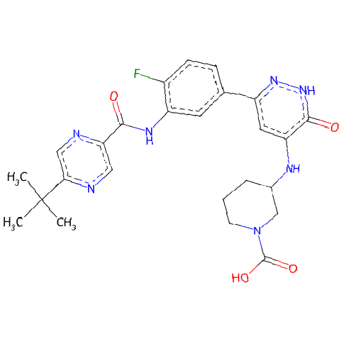 CC(C)(C)c1cnc(C(=O)Nc2cc(-c3cc(NC4CCCN(C(=O)O)C4)c(=O)[nH]n3)ccc2F)cn1